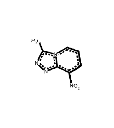 Cc1nnc2c([N+](=O)[O-])cccn12